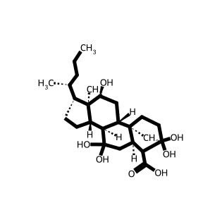 CCC[C@@H](C)[C@H]1CC[C@H]2[C@H]3[C@H](C[C@H](O)[C@]12C)[C@@]1(C)CCC(O)(O)C(C(=O)O)[C@H]1CC3(O)O